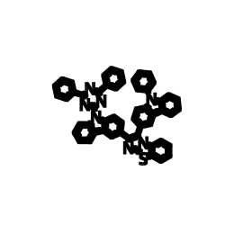 c1ccc(-c2nc(-c3ccccc3)nc(-n3c4ccccc4c4cc(-c5nc6sc7ccccc7n6c5-c5ccc6c(c5)c5ccccc5n6-c5ccccc5)ccc43)n2)cc1